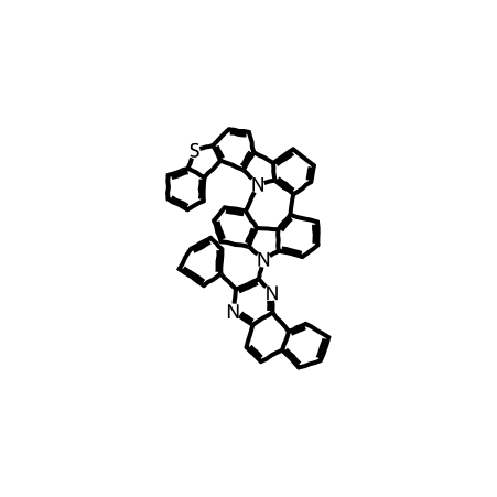 c1ccc(-c2nc3ccc4ccccc4c3nc2-n2c3cccc4c5cccc6c7ccc8sc9ccccc9c8c7n(c7cccc2c7c43)c56)cc1